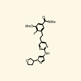 CNC(=O)c1cc(CCc2cnc(Nc3cnn(C4CCOC4)c3)nc2)c(F)c(OC)c1